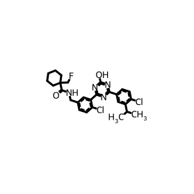 CC(C)c1cc(-c2nc(O)nc(-c3cc(CNC(=O)C4(CF)CCCCC4)ccc3Cl)n2)ccc1Cl